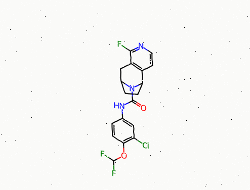 O=C(Nc1ccc(OC(F)F)c(Cl)c1)N1C2CCC1c1ccnc(F)c1C2